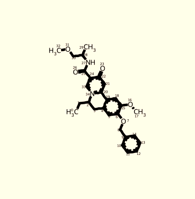 CCC1Cc2cc(OCc3ccccc3)c(OC)cc2-c2cc(=O)c(C(=O)NC(C)COC)cn21